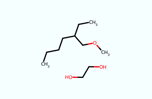 CCCCC(CC)COC.OCCO